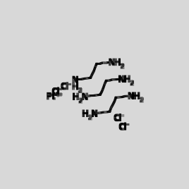 NCCN.NCCN.NCCN.[Cl-].[Cl-].[Cl-].[Cl-].[Pt+4]